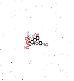 CO/N=C/c1ccc(OC)c(-c2ccc(O)c3c2C[C@H]2C[C@@H](CCO)[C@@](O)(C(=O)CC(N)=O)C(O)=C2C3=O)c1